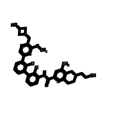 COc1nc(-c2cccc(-c3cccc(NC(=O)c4cc(C)c5c(n4)CCN(CCO)C5)c3Cl)c2Cl)cnc1CN1CC(O)C1